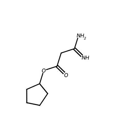 N=C(N)CC(=O)OC1CCCC1